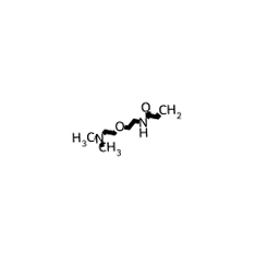 C=CC(=O)NCCOCCN(C)C